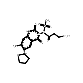 CCOC(=O)CCC(=O)N(n1c(=O)[nH]c2cc(C(F)(F)F)c([C@H]3CCCO3)cc2c1=O)S(C)(=O)=O